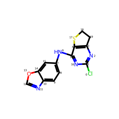 Clc1nc2c(c(Nc3ccc4ncoc4c3)n1)SCC2